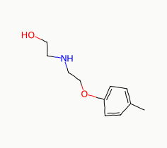 Cc1ccc(OCCNCCO)cc1